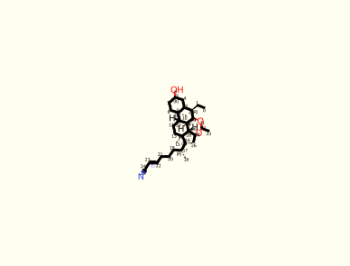 CC[C@@H]1C2C[C@H](O)CC[C@]2(C)[C@H]2CC[C@]3(C)[C@@H]([C@H](C)CCC/C=C/C#N)CC[C@H]3[C@@H]2[C@@H]1OC(C)=O